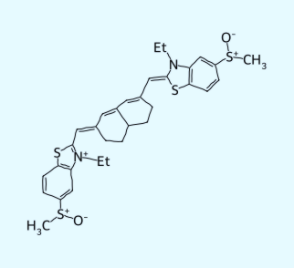 CCN1/C(=C/C2=CC3=C/C(=C/c4sc5ccc([S+](C)[O-])cc5[n+]4CC)CCC3CC2)Sc2ccc([S+](C)[O-])cc21